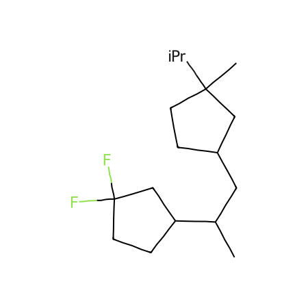 CC(CC1CCC(C)(C(C)C)C1)C1CCC(F)(F)C1